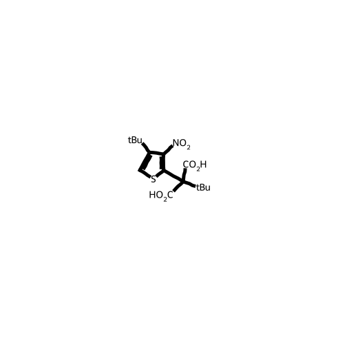 CC(C)(C)c1csc(C(C(=O)O)(C(=O)O)C(C)(C)C)c1[N+](=O)[O-]